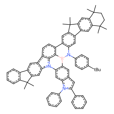 CC(C)(C)c1ccc(N2B3c4cc5cc(-c6ccccc6)n(-c6ccccc6)c5cc4-n4c5cc6c(cc5c5ccc(c3c54)-c3cc4c(cc32)-c2cc3c(cc2C4(C)C)C(C)(C)CCC3(C)C)-c2ccccc2C6(C)C)cc1